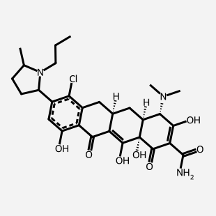 CCCN1C(C)CCC1c1cc(O)c2c(c1Cl)C[C@H]1C[C@H]3[C@H](N(C)C)C(O)=C(C(N)=O)C(=O)[C@@]3(O)C(O)=C1C2=O